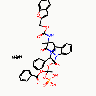 CC(NC(=O)C(C)(Cc1cn(C(=O)OC(C)(OC(=O)c2ccccc2)OP(=O)(O)O)c2ccccc12)NC(=O)OCc1cc2ccccc2o1)c1ccccc1.[NaH].[NaH]